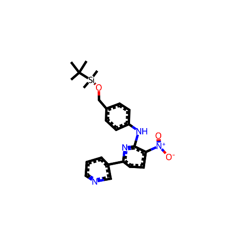 CC(C)(C)[Si](C)(C)OCc1ccc(Nc2nc(-c3cccnc3)ccc2[N+](=O)[O-])cc1